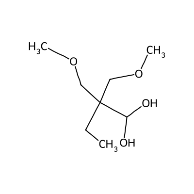 CCC(COC)(COC)C(O)O